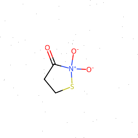 O=C1CCS[N+]1([O-])[O-]